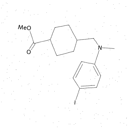 COC(=O)C1CCC(CN(C)c2ccc(I)cc2)CC1